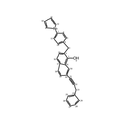 Oc1c(Cc2ccc(-n3cccc3)cc2)ccc2ccc(C#CCc3ccccc3)cc12